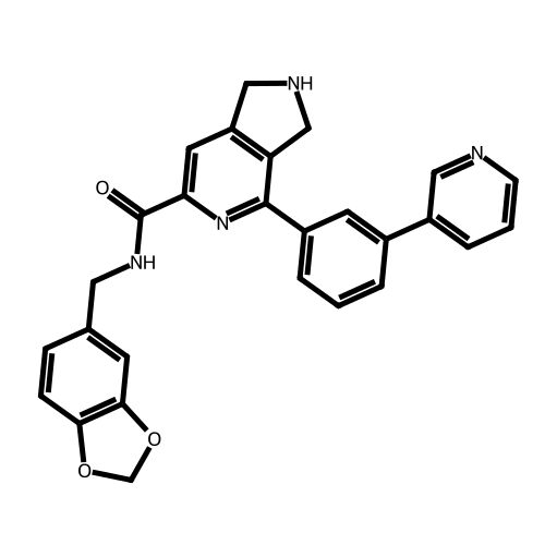 O=C(NCc1ccc2c(c1)OCO2)c1cc2c(c(-c3cccc(-c4cccnc4)c3)n1)CNC2